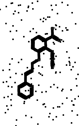 [N-]=[N+]=Nc1c(OCC=Cc2ccccn2)cccc1[N+](=O)[O-]